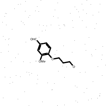 COc1cc(C=O)ccc1OCCC[O]